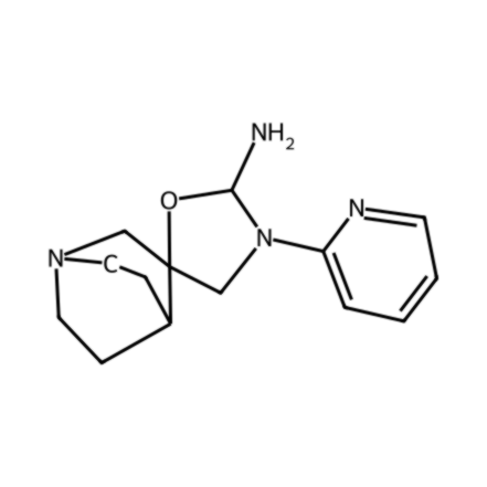 NC1OC2(CN3CCC2CC3)CN1c1ccccn1